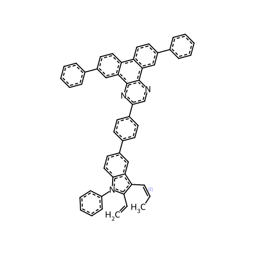 C=Cc1c(/C=C\C)c2cc(-c3ccc(-c4cnc5c6cc(-c7ccccc7)ccc6c6ccc(-c7ccccc7)cc6c5n4)cc3)ccc2n1-c1ccccc1